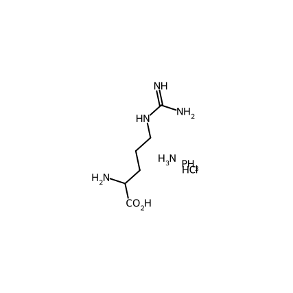 Cl.N.N=C(N)NCCCC(N)C(=O)O.P